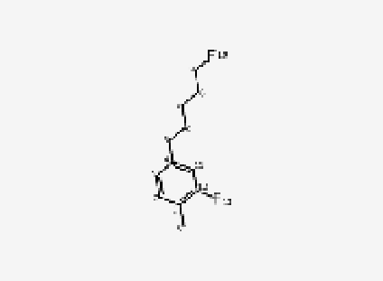 Cc1ccc(CCCCCF)cc1F